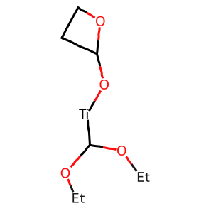 CCO[CH](OCC)[Ti][O]C1CCO1